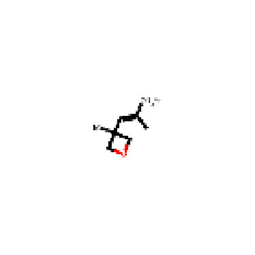 CCOC(=O)C(C)=CC1(CC)COC1